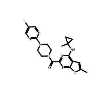 Cc1cc2c(NC3(C)CC3)nc(C(=O)N3CCN(c4ncc(F)cn4)CC3)nc2o1